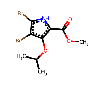 COC(=O)c1[nH]c(Br)c(Br)c1OC(C)C